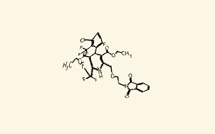 CCOC(=O)C1=C(COCCN2C(=O)c3ccccc3C2=O)NC(C(F)(F)F)=C(C(=O)OCC)C1c1c(F)ccc(Cl)c1C(F)(F)F